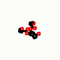 O=C(OC1C2CC(C1OC(=O)c1ccco1)C1C(=O)CCC21)c1ccco1